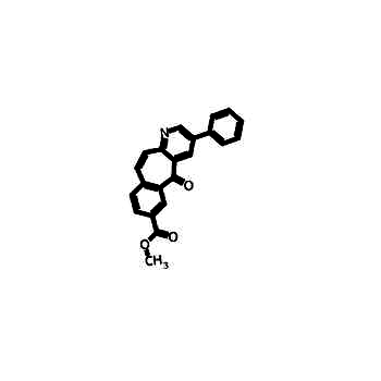 COC(=O)c1ccc2ccc3ncc(-c4ccccc4)cc3c(=O)c2c1